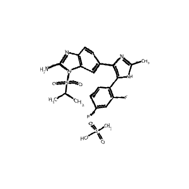 CS(=O)(=O)O.Cc1nc(-c2ccc3nc(N)n(S(=O)(=O)C(C)C)c3c2)c(-c2ccc(F)cc2F)[nH]1